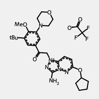 COc1c(N2CCOCC2)cc(C(=O)C[n+]2nc(N)n3nc(OC4CCCC4)ccc32)cc1C(C)(C)C.O=C([O-])C(F)(F)F